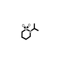 CC(C)N1CCCCS1(=O)=O